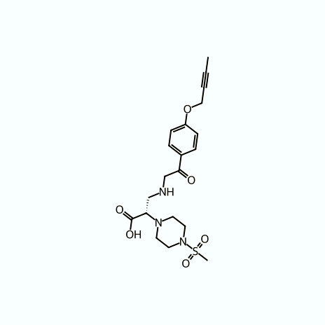 CC#CCOc1ccc(C(=O)CNC[C@@H](C(=O)O)N2CCN(S(C)(=O)=O)CC2)cc1